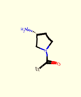 CCC(=O)N1CC[C@@H](N)C1